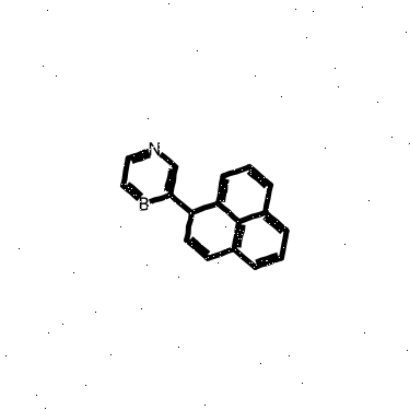 b1ccncc1C1C=Cc2cccc3cccc1c23